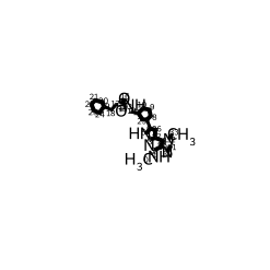 CNc1nc2[nH]c(-c3cccc(CNS(=O)(=O)CCc4ccccc4)c3)cc2c2c1ncn2C